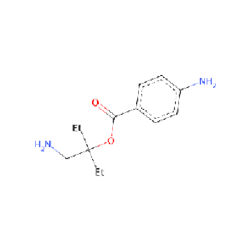 CCC(CC)(CN)OC(=O)c1ccc(N)cc1